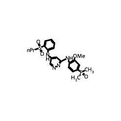 CCCS(=O)(=O)c1ccccc1Nc1cnnc(Nc2ccc(P(C)(C)=O)cc2OC)c1